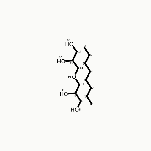 CCCCCCCC.OCC(O)COCC(O)CO